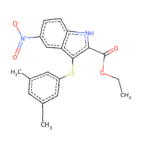 CCOC(=O)c1[nH]c2ccc([N+](=O)[O-])cc2c1Sc1cc(C)cc(C)c1